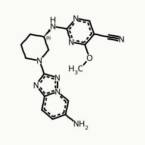 COc1nc(N[C@@H]2CCCN(c3nc4ccc(N)cn4n3)C2)ncc1C#N